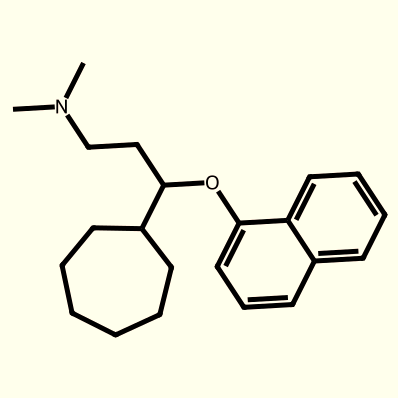 CN(C)CCC(Oc1cccc2ccccc12)C1CCCCCC1